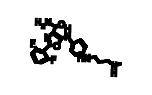 CNCCCNc1ccc(Nc2oc(-c3c(F)cccc3F)nc2C(N)=O)cc1